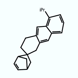 CC(C)c1cccc2cc3c(cc12)CCC1(C3)CC2C=CC1C2